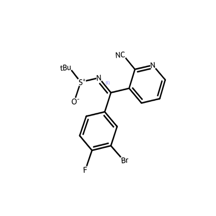 CC(C)(C)[S+]([O-])/N=C(\c1ccc(F)c(Br)c1)c1cccnc1C#N